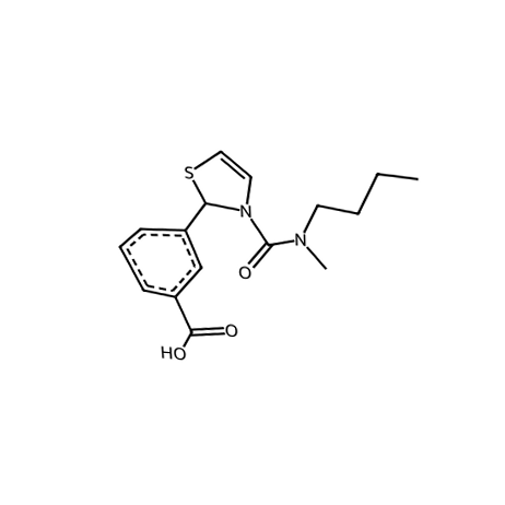 CCCCN(C)C(=O)N1C=CSC1c1cccc(C(=O)O)c1